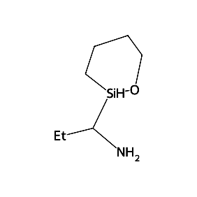 CCC(N)[SiH]1CCCCO1